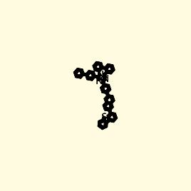 c1ccc(-c2ccc(-c3nc(-c4ccc(-c5ccc6cc(-c7cccc8c7sc7ccccc78)ccc6c5)cc4)nc(-c4ccccc4-c4ccccc4)n3)cc2)cc1